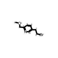 COCc1ccc(CCBr)cn1